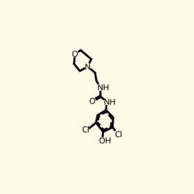 O=C(NCCN1CCOCC1)Nc1cc(Cl)c(O)c(Cl)c1